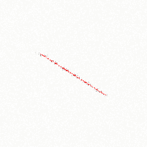 CCCOCCOCCOCCNC(=O)COCC(=O)NCCOCCOCCOCCNC(=O)COCC(=O)NCCOCCOCCOCCNC(=O)COCC(=O)NCCOCCOCCOCCNC(=O)COCC(=O)NCCOCCOCCOCCNC(=O)COCC(=O)NCCOCCOCCOCCNC(=O)COCC(N)=O